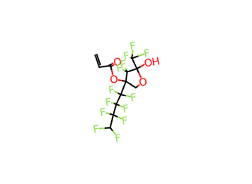 C=CC(=O)OC1(C(F)(F)C(F)(F)C(F)(F)C(F)F)COC(O)(C(F)(F)F)C1(F)F